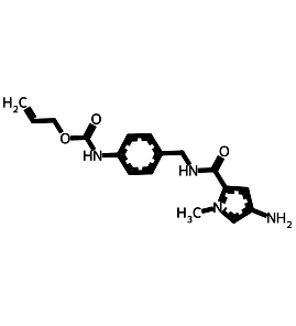 C=CCOC(=O)Nc1ccc(CNC(=O)c2cc(N)cn2C)cc1